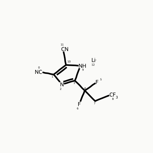 N#Cc1nc(C(F)(F)CC(F)(F)F)[nH]c1C#N.[Li]